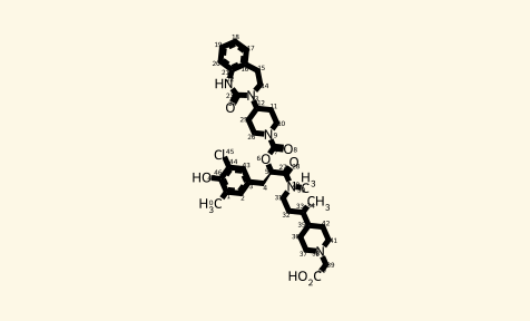 Cc1cc(C[C@@H](OC(=O)N2CCC(N3CCc4ccccc4NC3=O)CC2)C(=O)N(C)CCC(C)C2CCN(CC(=O)O)CC2)cc(Cl)c1O